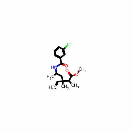 C=CC(C)(CC(C)NC(=O)c1cccc(Cl)c1)C(C)C(=O)OC